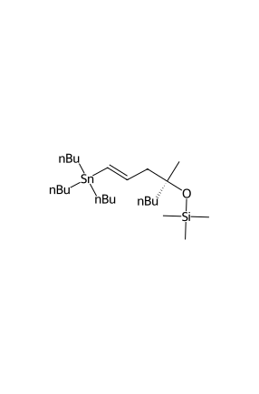 CCCC[C@@](C)(C/C=[CH]/[Sn]([CH2]CCC)([CH2]CCC)[CH2]CCC)O[Si](C)(C)C